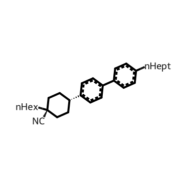 CCCCCCCc1ccc(-c2ccc([C@H]3CC[C@@](C#N)(CCCCCC)CC3)cc2)cc1